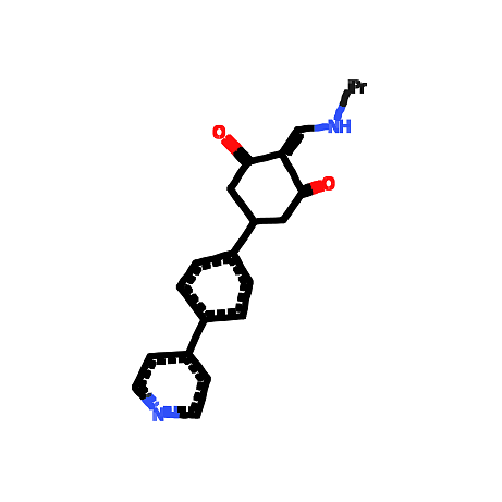 CC(C)NC=C1C(=O)CC(c2ccc(-c3ccncc3)cc2)CC1=O